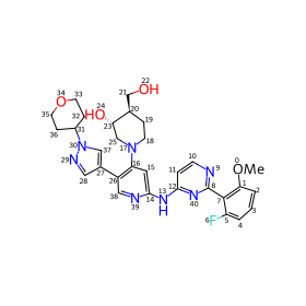 COc1cccc(F)c1-c1nccc(Nc2cc(N3CC[C@H](CO)[C@@H](O)C3)c(-c3cnn(C4CCOCC4)c3)cn2)n1